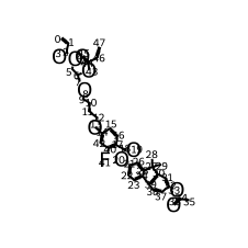 C=CC(=O)OCC(COCCCCOc1ccc(C(=O)Oc2ccc3c(c2)C(C)(C)c2cc(OC(C)=O)ccc2-3)c(F)c1)OC(=O)C=C